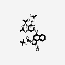 CC(=O)OC[C@H]1O[C@@H](Oc2cc3c(c4ccccc24)[C@H](CCl)CN3C(=O)OC(C)(C)C)C[C@@H](OC(C)=O)[C@H]1OC(C)=O